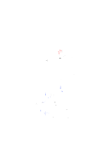 CCCc1cnc(Cl)nc1NC1CCC(=O)CC1